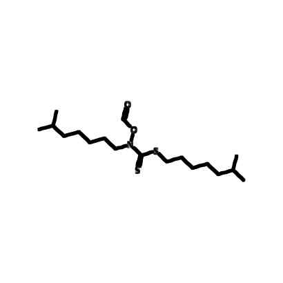 CC(C)CCCCCSC(=S)N(CCCCCC(C)C)OC=O